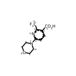 O=C(O)c1ccc(N2CCOCC2)nc1C(F)(F)F